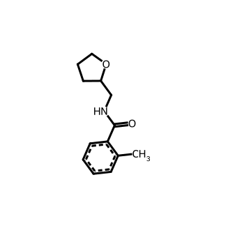 Cc1ccccc1C(=O)NCC1CCCO1